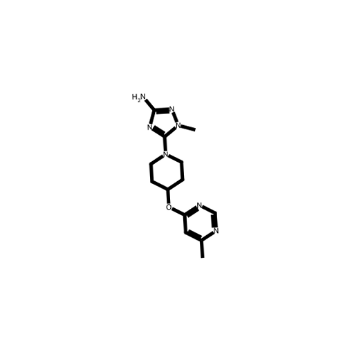 Cc1cc(OC2CCN(c3nc(N)nn3C)CC2)ncn1